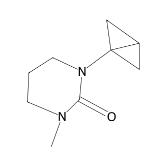 CN1CCCN(C23CC2C3)C1=O